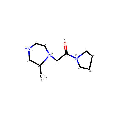 CC1CNCCN1CC(=O)N1CCCC1